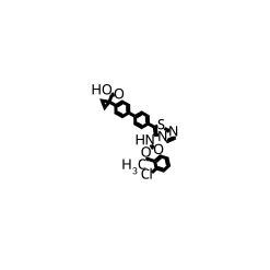 CC(OC(=O)Nc1c(-c2ccc(-c3ccc(C4(C(=O)O)CC4)cc3)cc2)sc2nccn12)c1ccccc1Cl